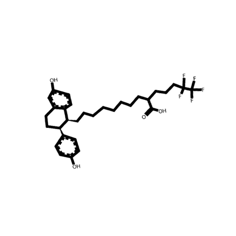 O=C(O)C(CCCCCCCC[C@@H]1c2ccc(O)cc2CC[C@@H]1c1ccc(O)cc1)CCCC(F)(F)C(F)(F)F